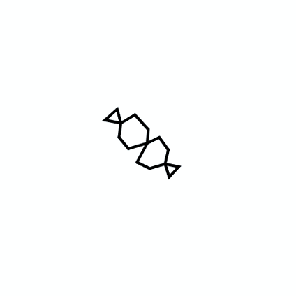 C1CC12CCC1(CC2)CCC2(CC2)CC1